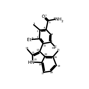 CCc1c(C)c(C(N)=O)cc(F)c1-c1c(C)[nH]c2cccc(C)c12